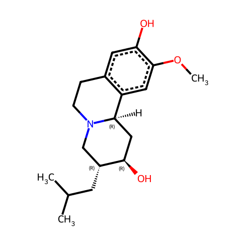 COc1cc2c(cc1O)CCN1C[C@@H](CC(C)C)[C@H](O)C[C@H]21